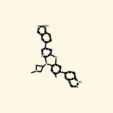 Cc1cc2c(cc1-c1ccc3[nH]ncc3c1)Oc1cc(-c3ccc4[nH]ncc4c3)cnc1N2C1CN(C)C1